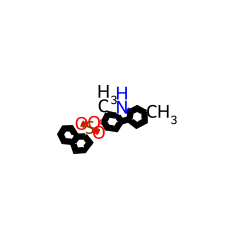 Cc1ccc2c(c1)[nH]c1c(C)c(OS(=O)(=O)c3cccc4ccccc34)ccc12